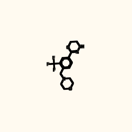 FC(F)(F)c1cc(C2=NNCCO2)ccc1CN1CCOCC1